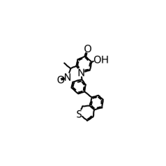 CC(N=O)c1cc(=O)c(O)cn1-c1cccc(-c2cccc3c2CSC=C3)c1